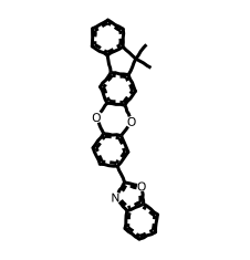 CC1(C)c2ccccc2-c2cc3c(cc21)Oc1cc(-c2nc4ccccc4o2)ccc1O3